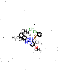 COc1cc[n+](-c2nc3cc4c(cc3[nH]2)C(C)(C)CCC4(C)C)c(CSSc2ccccc2Cl)c1C.[Cl-]